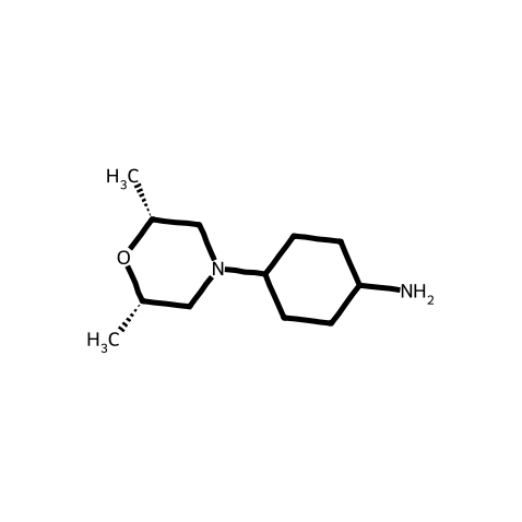 C[C@@H]1CN(C2CCC(N)CC2)C[C@H](C)O1